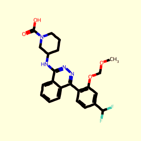 COCOc1cc(C(F)F)ccc1-c1nnc(NC2CCCN(C(=O)O)C2)c2ccccc12